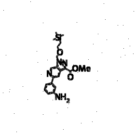 COC(=O)c1nn(COCC[Si](C)(C)C)c2cnc(-c3cccc(N)c3)cc12